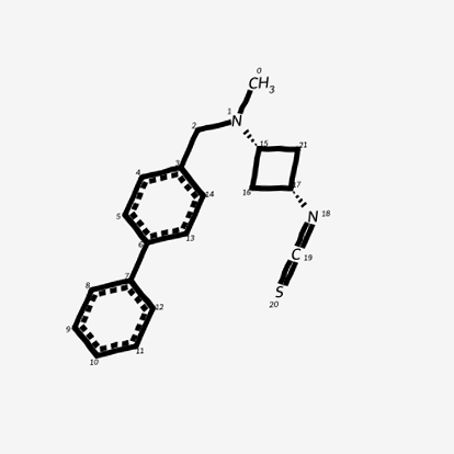 CN(Cc1ccc(-c2ccccc2)cc1)[C@H]1C[C@@H](N=C=S)C1